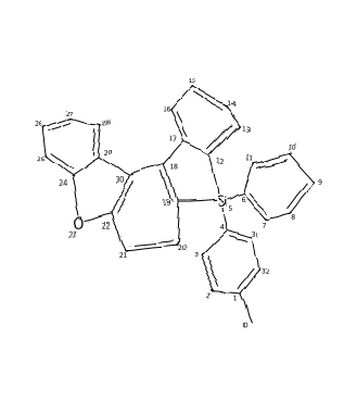 Cc1ccc([Si]2(c3ccccc3)c3ccccc3-c3c2ccc2oc4ccccc4c32)cc1